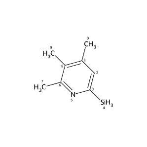 Cc1cc([SiH3])nc(C)c1C